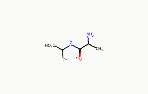 CC(N)C(=[17O])NC(C(=O)O)C(C)C